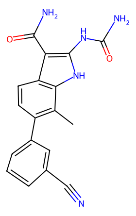 Cc1c(-c2cccc(C#N)c2)ccc2c(C(N)=O)c(NC(N)=O)[nH]c12